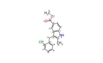 COC(=O)c1ccc2[nH]c(C)c(Cc3ccccc3Cl)c2c1